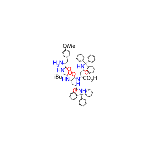 CC[C@H](C)[C@H](NC(=O)[C@@H](N)Cc1ccc(OC)cc1)C(=O)N[C@@H](CCC(=O)NC(c1ccccc1)(c1ccccc1)c1ccccc1)C(=O)N[C@@H](CC(=O)NC(c1ccccc1)(c1ccccc1)c1ccccc1)C(=O)O